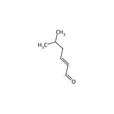 CC(C)CC=C[C]=O